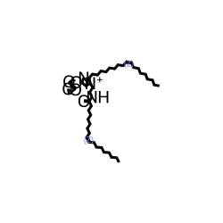 CCCCCCCC/C=C\CCCCCCCCC1=NCC[N+]1(C)CCNC(=O)CCCCCCC/C=C\CCCCCCCC.COS(=O)(=O)[O-]